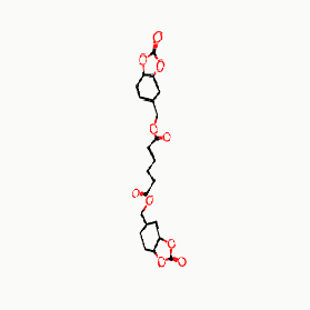 O=C(CCCCC(=O)OCC1CCC2OC(=O)OC2C1)OCC1CCC2OC(=O)OC2C1